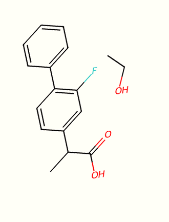 CC(C(=O)O)c1ccc(-c2ccccc2)c(F)c1.CCO